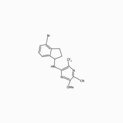 COc1nc(NC2CCc3c(Br)cccc32)c(C(F)(F)F)nc1C#N